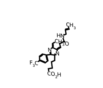 C/C=C/CNC(=O)C/C=c1/nc(CCCCC(=O)O)c(-c2ccc(C(F)(F)F)cc2)n/c1=C/C